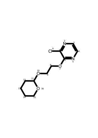 Clc1nccnc1OCCOC1CCCCO1